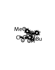 CCCCOC1[C@H](O)C(COC(=O)CCl)O[C@@H](Oc2ccc(OC)cc2)[C@H]1OC(=O)c1ccccc1